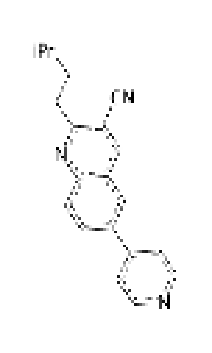 CC(C)CCc1nc2ccc(-c3ccncc3)cc2cc1C#N